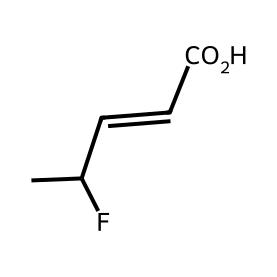 CC(F)C=CC(=O)O